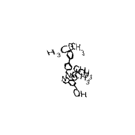 COc1ccc(-c2ccc(CN(C(=O)CC(C)(C)C)c3nccc4cc(CO)ccc34)cc2)cc1C